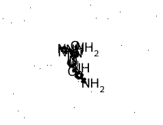 C[C@@H]1[C@H](NC(=O)c2ccc(C(C)(C)N)cc2)CCCN1c1cnc(C(N)=O)c(Nc2cnn(C)c2)n1